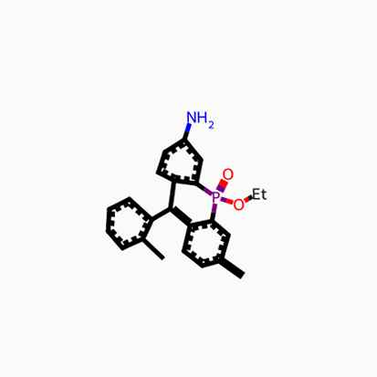 C=c1ccc2c(c1)P(=O)(OCC)c1cc(N)ccc1C=2c1ccccc1C